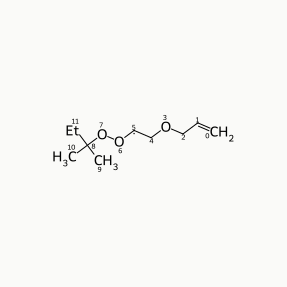 C=CCOC[CH]OOC(C)(C)CC